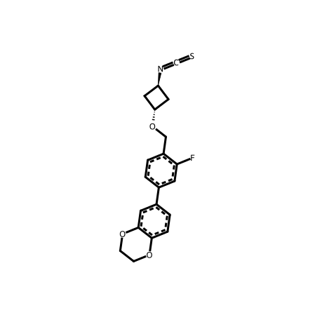 Fc1cc(-c2ccc3c(c2)OCCO3)ccc1CO[C@H]1C[C@H](N=C=S)C1